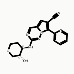 N#Cc1cc2cnc(N[C@@H]3CCOC[C@H]3O)nn2c1-c1ccccn1